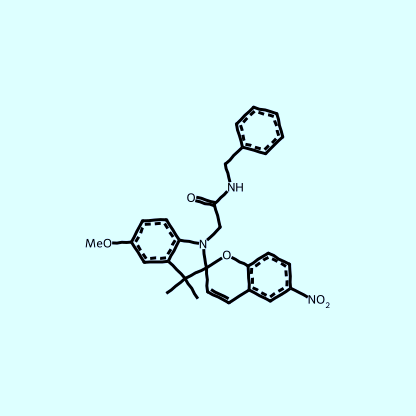 COc1ccc2c(c1)C(C)(C)C1(C=Cc3cc([N+](=O)[O-])ccc3O1)N2CC(=O)NCc1ccccc1